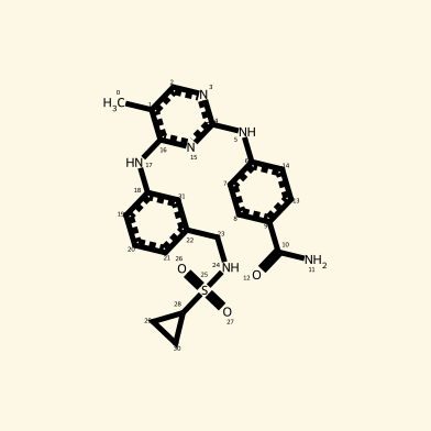 Cc1cnc(Nc2ccc(C(N)=O)cc2)nc1Nc1cccc(CNS(=O)(=O)C2CC2)c1